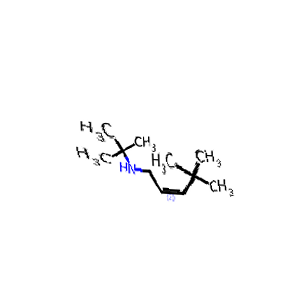 CC(C)(C)/C=C\CNC(C)(C)C